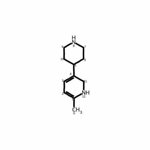 CC1=CC=C(C2CCNCC2)CN1